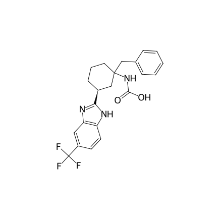 O=C(O)NC1(Cc2ccccc2)CCC[C@H](c2nc3cc(C(F)(F)F)ccc3[nH]2)C1